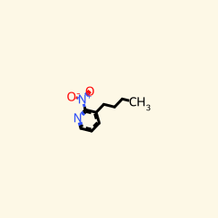 CCCCc1cccnc1[N+](=O)[O-]